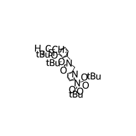 CC(C)(C)OC(=O)N(Cc1cccc(O[Si](C)(C)C(C)(C)C)c1)Cc1cccc(N(C(=O)OC(C)(C)C)C(=O)OC(C)(C)C)n1